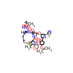 CC[C@@H]1OCCC/C=C\[C@@H]2C[C@@]2(C(=O)NS(=O)(=O)C2(C)CC2)NC(=O)[C@@H]2C[C@@H](Oc3cc(-c4ccc(OC(C)C)cc4)nc(-c4cncs4)c3)CN2C(=O)[C@H]1N(C(=O)O)C1(C(F)(F)F)CCCOC1